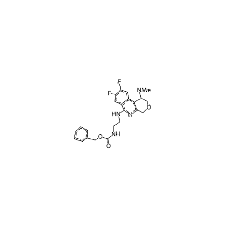 CNC1COCc2nc(NCCNC(=O)OCc3ccccc3)c3cc(F)c(F)cc3c21